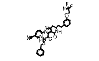 N#Cc1ccc(-n2nc3c(c2C(=O)NSCc2ccccc2)C(=O)NC(CCc2cccc(OCC(F)(F)F)c2)C3)nc1